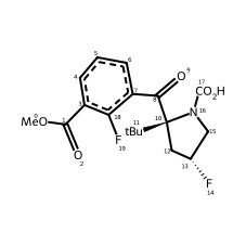 COC(=O)c1cccc(C(=O)[C@@]2(C(C)(C)C)C[C@@H](F)CN2C(=O)O)c1F